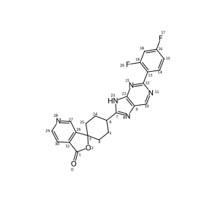 O=C1OC2(CCC(c3nc4cnc(-c5ccc(F)cc5F)nc4[nH]3)CC2)c2cnccc21